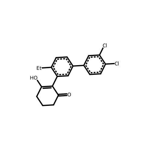 CCc1ccc(-c2ccc(Cl)c(Cl)c2)cc1C1=C(O)CCCC1=O